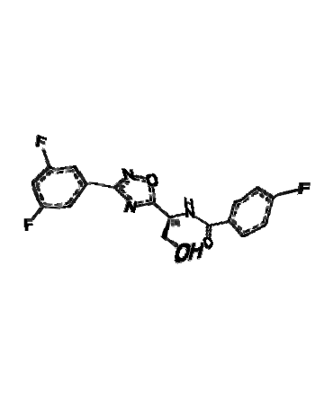 O=C(N[C@@H](CO)c1nc(-c2cc(F)cc(F)c2)no1)c1ccc(F)cc1